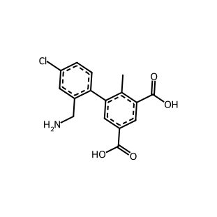 Cc1c(C(=O)O)cc(C(=O)O)cc1-c1ccc(Cl)cc1CN